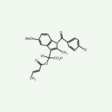 C/C=C/C(=O)OC(CC)(C(=O)O)c1c(C)n(C(=O)c2ccc(Cl)cc2)c2ccc(OC)cc12